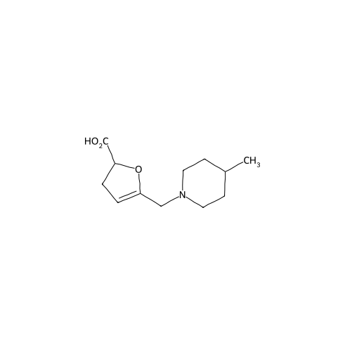 CC1CCN(CC2=CCC(C(=O)O)O2)CC1